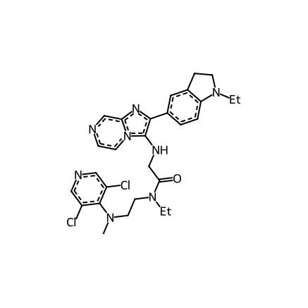 CCN(CCN(C)c1c(Cl)cncc1Cl)C(=O)CNc1c(-c2ccc3c(c2)CCN3CC)nc2cnccn12